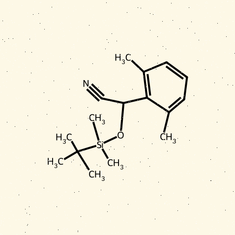 Cc1cccc(C)c1C(C#N)O[Si](C)(C)C(C)(C)C